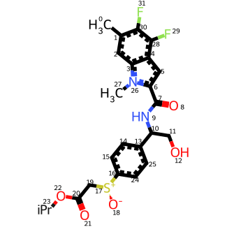 Cc1cc2c(cc(C(=O)NC(CO)c3ccc([S@+]([O-])CC(=O)OC(C)C)cc3)n2C)c(F)c1F